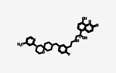 Cc1ccnc(N2CCOC3(CCN(Cc4ccc(F)c(CCNC[C@H](O)c5ccc(O)c6[nH]c(=O)ccc56)c4)CC3)C2)c1